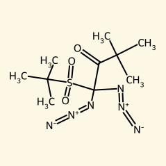 CC(C)(C)C(=O)C(N=[N+]=[N-])(N=[N+]=[N-])S(=O)(=O)C(C)(C)C